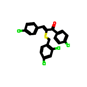 O=C(C(=Cc1ccc(Cl)cc1)SCc1ccc(Cl)cc1Cl)c1ccc(Cl)cc1